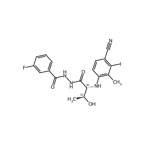 Cc1c(N[C@@H](C(=O)NNC(=O)c2cccc(F)c2)[C@H](C)O)ccc(C#N)c1I